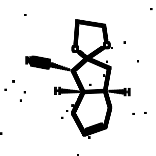 N#C[C@H]1[C@@H]2CC=CC[C@@H]2CC12OCCO2